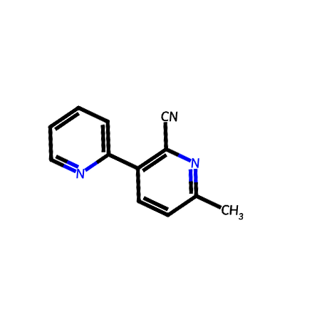 Cc1ccc(-c2ccccn2)c(C#N)n1